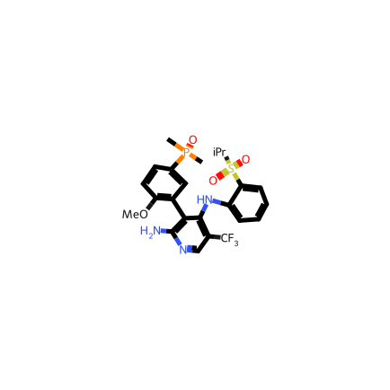 COc1ccc(P(C)(C)=O)cc1-c1c(N)ncc(C(F)(F)F)c1Nc1ccccc1S(=O)(=O)C(C)C